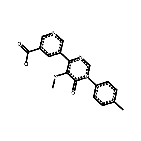 CSc1c(-c2cncc(C(=O)Cl)c2)ncn(-c2ccc(C)cc2)c1=O